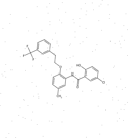 Cc1ccc(OCCc2cccc(C(F)(F)F)c2)c(NC(=O)c2cc(Cl)ccc2O)c1